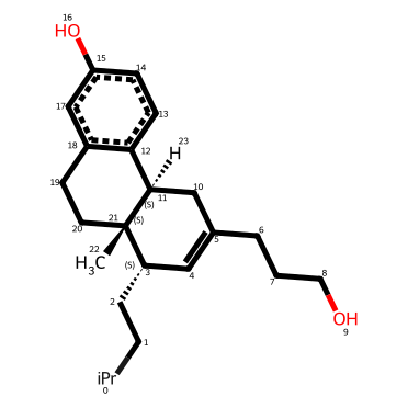 CC(C)CC[C@H]1C=C(CCCO)C[C@@H]2c3ccc(O)cc3CC[C@@]12C